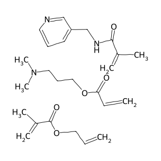 C=C(C)C(=O)NCc1cccnc1.C=CC(=O)OCCCN(C)C.C=CCOC(=O)C(=C)C